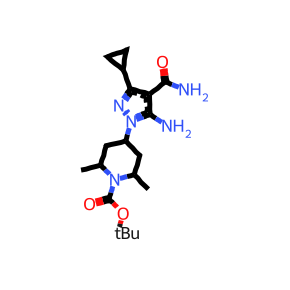 CC1CC(n2nc(C3CC3)c(C(N)=O)c2N)CC(C)N1C(=O)OC(C)(C)C